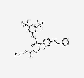 CCOC(=S)CCC1Cc2cc(OCc3ccccc3)ccc2N1C(=O)COc1cc(C(F)(F)F)cc(C(F)(F)F)c1